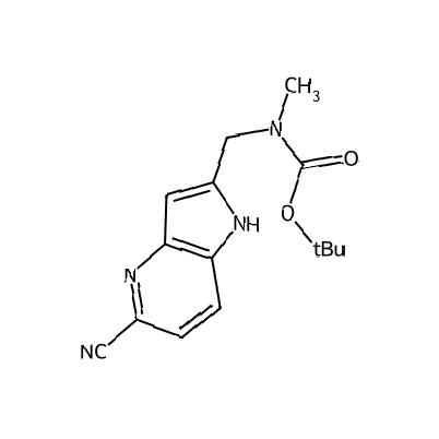 CN(Cc1cc2nc(C#N)ccc2[nH]1)C(=O)OC(C)(C)C